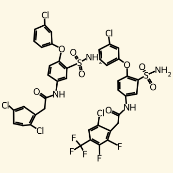 NS(=O)(=O)c1cc(NC(=O)Cc2c(Cl)cc(C(F)(F)F)c(F)c2F)ccc1Oc1cccc(Cl)c1.NS(=O)(=O)c1cc(NC(=O)Cc2cc(Cl)ccc2Cl)ccc1Oc1cccc(Cl)c1